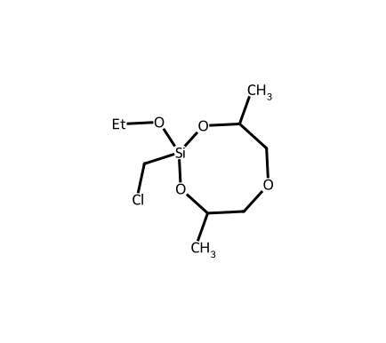 CCO[Si]1(CCl)OC(C)COCC(C)O1